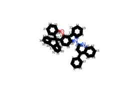 c1ccc(-c2cc(-n3c4ccccc4c4c5c(ccc43)C3(c4ccccc4O5)c4ccccc4-c4ccccc43)nc3ccccc23)cc1